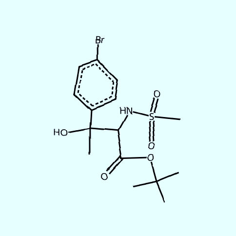 CC(C)(C)OC(=O)C(NS(C)(=O)=O)C(C)(O)c1ccc(Br)cc1